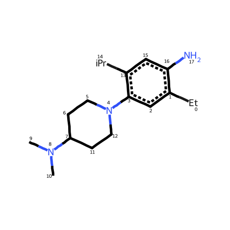 CCc1cc(N2CCC(N(C)C)CC2)c(C(C)C)cc1N